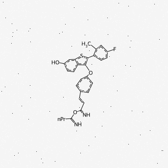 CCCC(=N)OC(=N)/C=C/c1ccc(Oc2c(-c3ccc(F)cc3C)sc3cc(O)ccc23)cc1